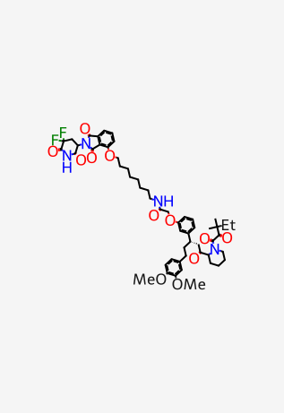 CCC(C)(C)C(=O)C(=O)N1CCCCC1C(=O)C[C@H](CCc1ccc(OC)c(OC)c1)c1cccc(OCC(=O)NCCCCCCCCOc2cccc3c2C(=O)N(C2CC(F)(F)C(=O)NC2=O)C3=O)c1